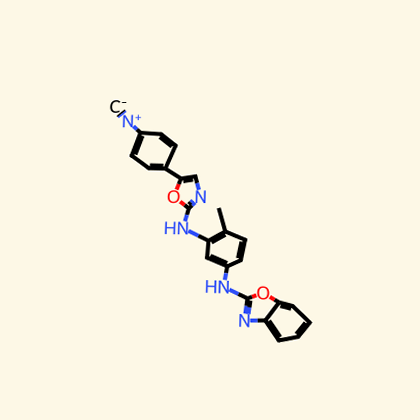 [C-]#[N+]c1ccc(-c2cnc(Nc3cc(Nc4nc5ccccc5o4)ccc3C)o2)cc1